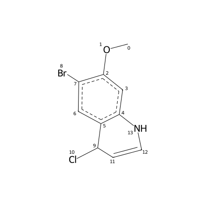 COc1cc2c(cc1Br)C(Cl)C=CN2